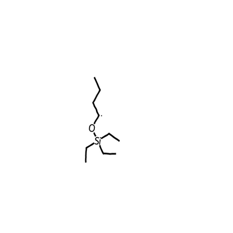 CCC[CH]O[Si](CC)(CC)CC